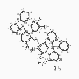 Cc1cc(C2(c3ccc(N)c(C)c3)c3ccccc3-c3ccccc32)ccc1N.Nc1ccc(C2(c3ccc(N)c(Cl)c3)c3ccccc3-c3ccccc32)cc1Cl